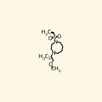 C=CS(=O)(=O)N1CCCCN([C@@H](C)COC)CC1